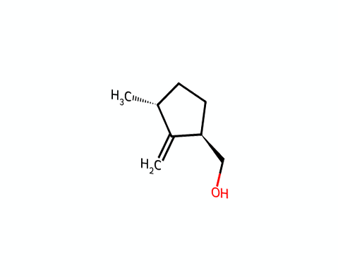 C=C1[C@H](CO)CC[C@H]1C